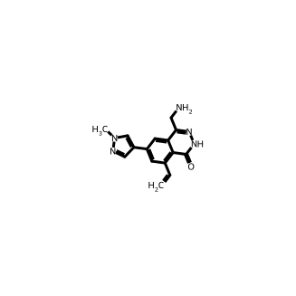 C=Cc1cc(-c2cnn(C)c2)cc2c(CN)n[nH]c(=O)c12